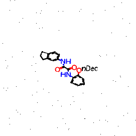 CCCCCCCCCCOc1ccccc1NC(=O)C(=O)Nc1ccc2c(c1)CCC2